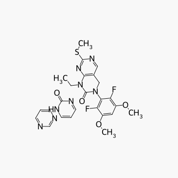 CCN1C(=O)N(c2c(F)c(OC)cc(OC)c2F)Cc2cnc(SC)nc21.O=c1nccc[nH]1.c1cncnc1